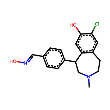 CN1CCc2cc(Cl)c(O)cc2C(c2ccc(/C=N/O)cc2)C1